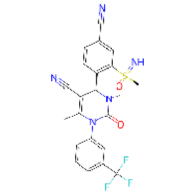 CC1=C(C#N)[C@@H](c2ccc(C#N)cc2[S@](C)(=N)=O)N(C)C(=O)N1c1cccc(C(F)(F)F)c1